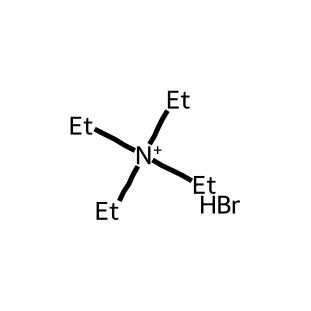 Br.CC[N+](CC)(CC)CC